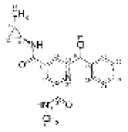 CNC(=O)c1cc(C(=O)N[C@H]2C[C@@H]2C)cc(C(Cl)c2ccccc2)n1